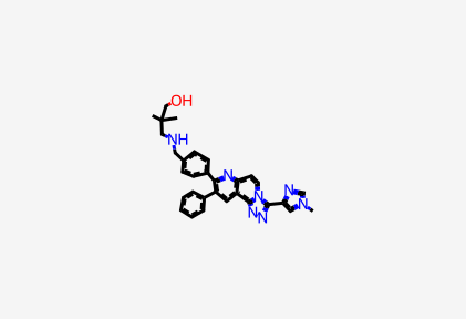 Cn1cnc(-c2nnc3c4cc(-c5ccccc5)c(-c5ccc(CNCC(C)(C)CO)cc5)nc4ccn23)c1